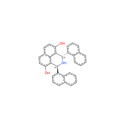 Oc1ccc2ccc(O)c3c2c1[C@H](c1cccc2ccccc12)N[C@H]3c1cccc2ccccc12